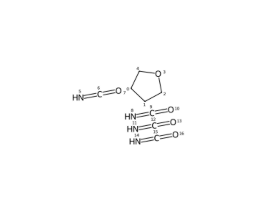 C1CCOC1.N=C=O.N=C=O.N=C=O.N=C=O